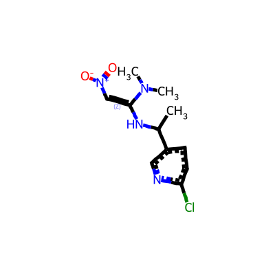 CC(N/C(=C/[N+](=O)[O-])N(C)C)c1ccc(Cl)nc1